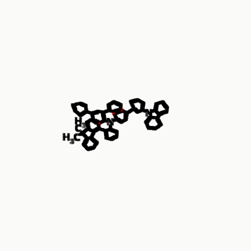 CC1(C)c2ccccc2-c2c(-c3ccccc3N(c3ccc(-c4cccc(-n5c6ccccc6c6ccccc65)c4)cc3)c3ccc(-c4ccccc4)cc3-c3ccccc3)cccc21